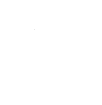 CC(c1ccccc1)C(O)C1COC(C)(C)O1